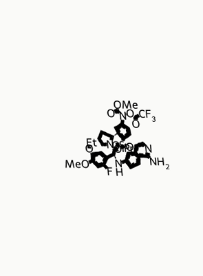 CCOc1cc([C@@H](Nc2ccc3c(N)nccc3c2)C(=O)N2CCC[C@@H]2c2cc(N(OC(=O)C(F)(F)F)C(=O)OC)ccc2S(=O)(=O)C(C)C)c(F)cc1OC